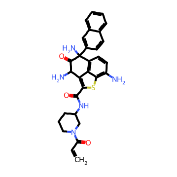 C=CC(=O)N1CCCC(NC(=O)c2sc3c(N)ccc4c3c2C(N)C(=O)C4(N)c2ccc3ccccc3c2)C1